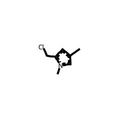 Cc1cc(CCl)n(C)c1